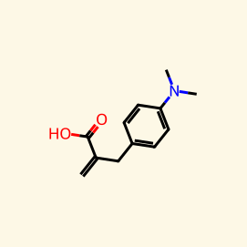 C=C(Cc1ccc(N(C)C)cc1)C(=O)O